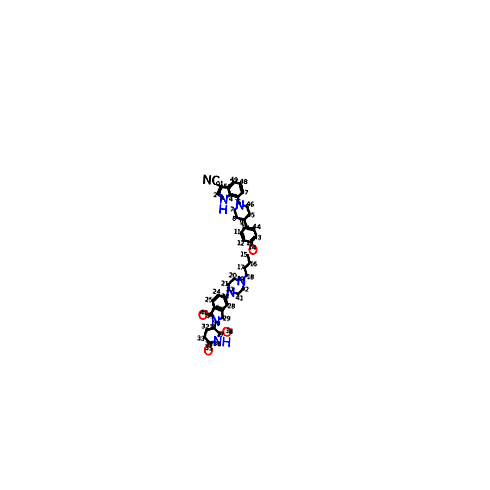 N#Cc1c[nH]c2c(N3CCC(c4ccc(OCCCCN5CCN(c6ccc7c(c6)CN(C6CCC(=O)NC6=O)C7=O)CC5)cc4)CC3)cccc12